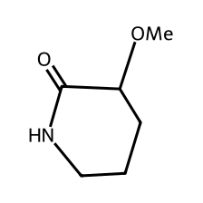 COC1CCCNC1=O